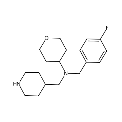 Fc1ccc(CN(CC2CCNCC2)C2CCOCC2)cc1